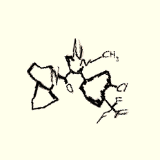 Cn1ncc(C(=O)N2CCCC3CCCC=C32)c1-c1ccc(C(F)(F)F)c(Cl)c1